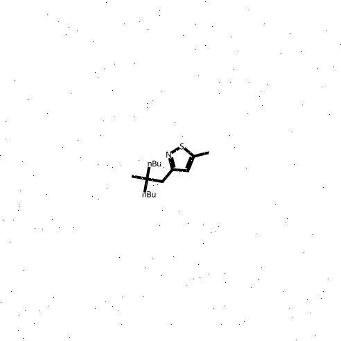 CCCCC(C)(CCCC)Cc1cc(C)sn1